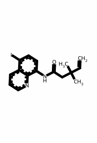 C=CC(C)(C)CC(=O)Nc1ccc(I)c2cccnc12